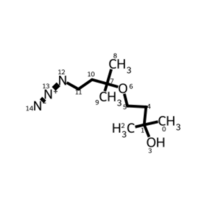 CC(C)(O)CCOC(C)(C)CCN=[N+]=[N-]